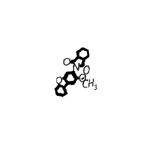 COc1cc2c(cc1N1C(=O)C3CCCCC3C1=O)oc1ccccc12